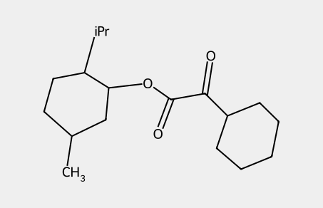 CC1CCC(C(C)C)C(OC(=O)C(=O)C2CCCCC2)C1